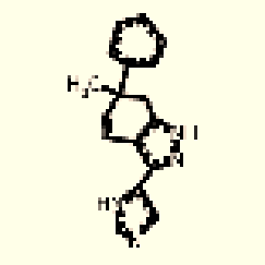 CC1(c2ccccc2)C=Cc2c(-c3cnc[nH]3)n[nH]c2C1